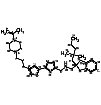 C=C(C)N1CCN(CCCn2cc(-c3csc(CNCC4(CC(C)(C)CCC)Cc5ccccc5C4)n3)cn2)CC1